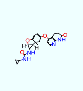 CC12CC(Oc3ccnc4c3CCC(=O)N4)=CC=C1O[C@@H]1[C@@H](NC(=O)NC3CC3)[C@@H]12